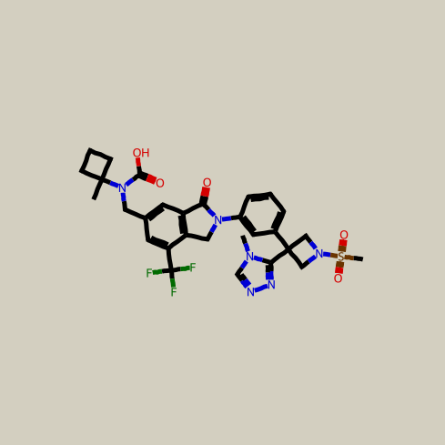 Cn1cnnc1C1(c2cccc(N3Cc4c(cc(CN(C(=O)O)C5(C)CCC5)cc4C(F)(F)F)C3=O)c2)CN(S(C)(=O)=O)C1